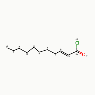 CCCCCCCC/C=C/C(=O)Cl